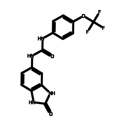 O=C(Nc1ccc(OC(F)(F)F)cc1)Nc1ccc2[nH]c(=O)[nH]c2c1